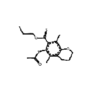 CCCOC(=S)c1c(C)c2c(c(C)c1SC(C)=O)CCCO2